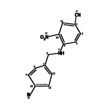 N#Cc1ccc(NCc2ccc(Br)cc2)c([N+](=O)[O-])c1